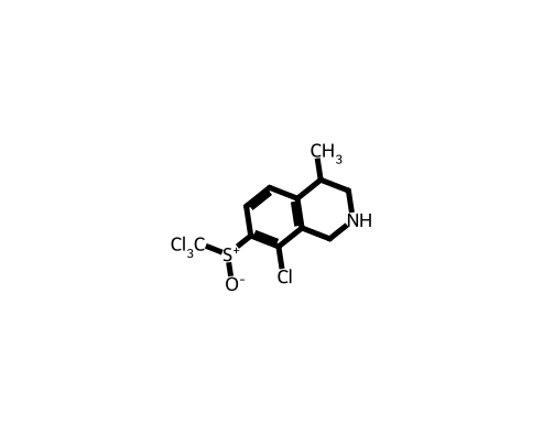 CC1CNCc2c1ccc([S+]([O-])C(Cl)(Cl)Cl)c2Cl